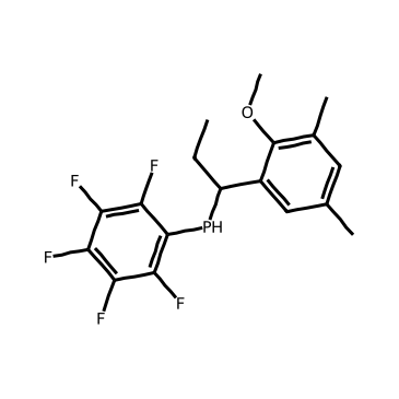 CCC(Pc1c(F)c(F)c(F)c(F)c1F)c1cc(C)cc(C)c1OC